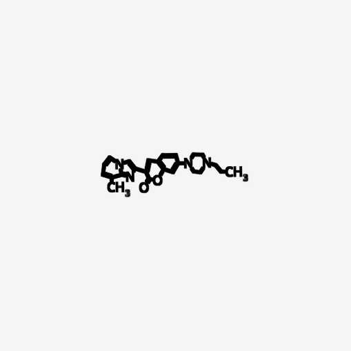 CCCN1CCN(c2ccc3cc(-c4cn5cccc(C)c5n4)c(=O)oc3c2)CC1